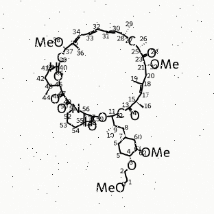 COCCO[C@@H]1CC[C@@H](C[C@H](C)C2CC(=O)[C@H](C)/C=C(\C)C[C@@H](OC)C(=O)[C@@H](C)C[C@@H](C)/C=C/C=C/C=C(\C)[C@@H](OC)C[C@H]3CC[C@H](C)C(O3)C(=O)C(=O)N3CCCC[C@@H]3C(=O)O2)C[C@H]1OC